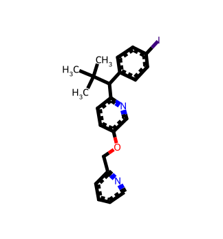 CC(C)(C)C(c1ccc(I)cc1)c1ccc(OCc2ccccn2)cn1